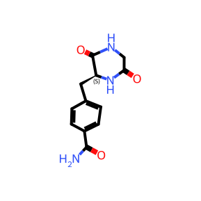 NC(=O)c1ccc(C[C@@H]2NC(=O)CNC2=O)cc1